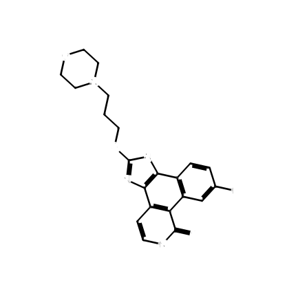 O=C1[N]C=Cc2c1c1cc(F)ccc1c1[nH]c(OCCCN3CCOCC3)nc21